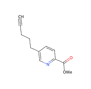 C#CCCCc1ccc(C(=O)OC)nc1